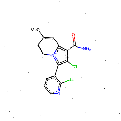 COC1=Cc2c(C(N)=O)c(Cl)c(-c3cccnc3Cl)n2CC1